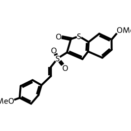 COc1ccc(C=CS(=O)(=O)c2cc3ccc(OC)cc3sc2=O)cc1